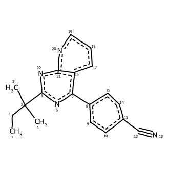 CCC(C)(C)c1nc(-c2ccc(C#N)cc2)c2cccnc2n1